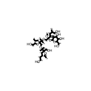 CCC[C@@](COC(C)(C)C(CO)(CCCCO)OCC)(OCCO)C(C)(C)OCC(OC)(OC1OC(CO)C(O)C(O)C1O)[C@H](O)CC(C)CO